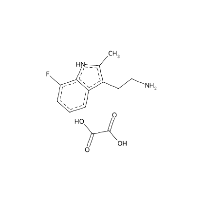 Cc1[nH]c2c(F)cccc2c1CCN.O=C(O)C(=O)O